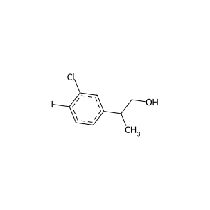 C[C](CO)c1ccc(I)c(Cl)c1